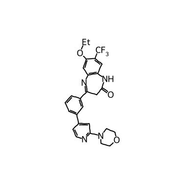 CCOc1cc2c(cc1C(F)(F)F)NC(=O)CC(c1cccc(-c3ccnc(N4CCOCC4)c3)c1)=N2